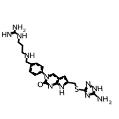 N=C(N)NCCCNCc1ccc(-n2cc3cc(CSc4n[nH]c(N)n4)[nH]c3nc2=O)cc1